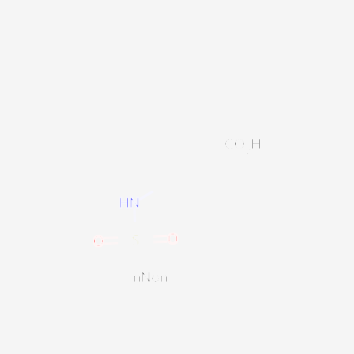 CCCCCCCCCS(=O)(=O)NCc1ccccc1C(=O)O